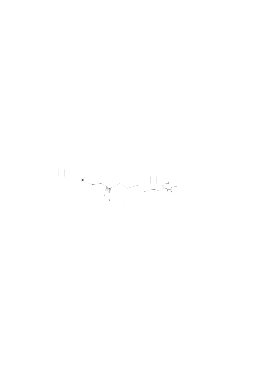 CC(F)(F)CC[C@H](N)CCCCCO[Si](C)(C)C(C)(C)C